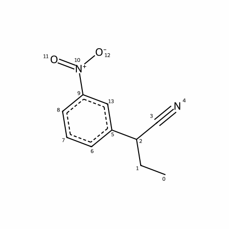 CCC(C#N)c1cccc([N+](=O)[O-])c1